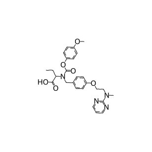 CCC(C(=O)O)N(Cc1ccc(OCCN(C)c2ncccn2)cc1)C(=O)Oc1ccc(OC)cc1